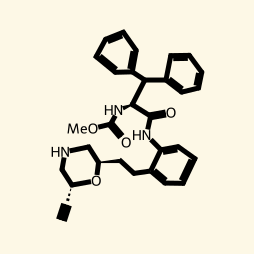 C#C[C@@H]1CNC[C@@H](CCc2ccccc2NC(=O)[C@@H](NC(=O)OC)C(c2ccccc2)c2ccccc2)O1